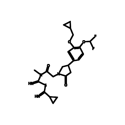 CN(C(=N)SC(=N)C1CC1)C(=O)CN1CC(c2ccc(OC(F)F)c(OCC3CC3)c2)CC1=O